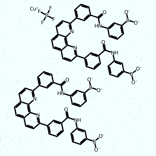 F[B-](F)(F)F.O=C(Nc1cccc(B([O-])[O-])c1)c1cccc(-c2ccc3ccc4ccc(-c5cccc(C(=O)Nc6cccc(B([O-])[O-])c6)c5)nc4c3n2)c1.O=C(Nc1cccc(B([O-])[O-])c1)c1cccc(-c2ccc3ccc4ccc(-c5cccc(C(=O)Nc6cccc(B([O-])[O-])c6)c5)nc4c3n2)c1.[Cu+]